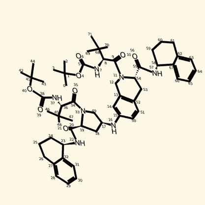 CC(C)(C)OC(=O)N[C@H](C(=O)N1Cc2cc(N[C@H]3C[C@@H](C(=O)N[C@@H]4CCCc5ccccc54)N(C(=O)[C@@H](NC(=O)OC(C)(C)C)C(C)(C)C)C3)ccc2C[C@H]1C(=O)N[C@@H]1CCCc2ccccc21)C(C)(C)C